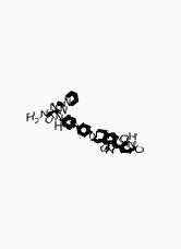 NC(=O)c1ncc(N2CCCCC2)nc1Nc1ccc([C@H]2CC[C@H](N3CCc4ccc5c(C6CCC(=O)NC6=O)noc5c4CC3)CC2)cc1